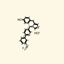 Cl.N#Cc1ccc(Cc2cncn2Cc2ccc(-c3cccc(OC(F)(F)F)c3)nc2)cc1